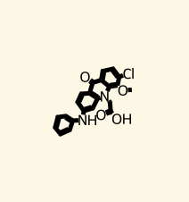 COc1c(Cl)ccc2c(=O)c3ccc(Nc4ccccc4)cc3n(CC(=O)O)c12